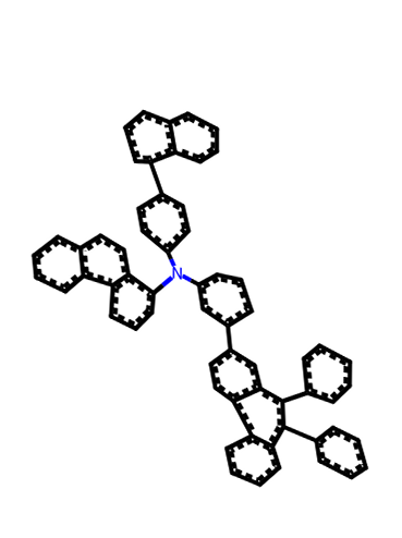 c1ccc(-c2c(-c3ccccc3)c3cc(-c4cccc(N(c5ccc(-c6cccc7ccccc67)cc5)c5cccc6c5ccc5ccccc56)c4)ccc3c3ccccc23)cc1